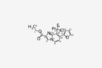 CCOC(=O)c1cn2ccc(-c3ccco3)c(C(F)(F)Cl)c2n1